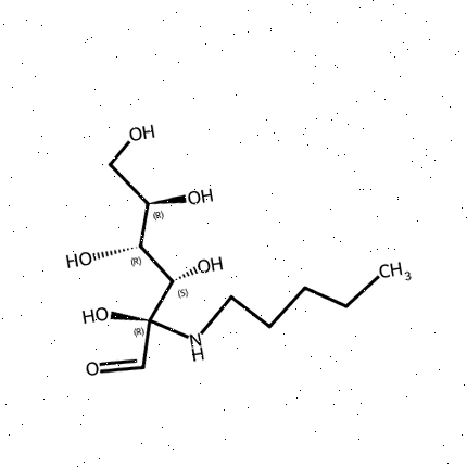 CCCCCN[C@](O)(C=O)[C@@H](O)[C@H](O)[C@H](O)CO